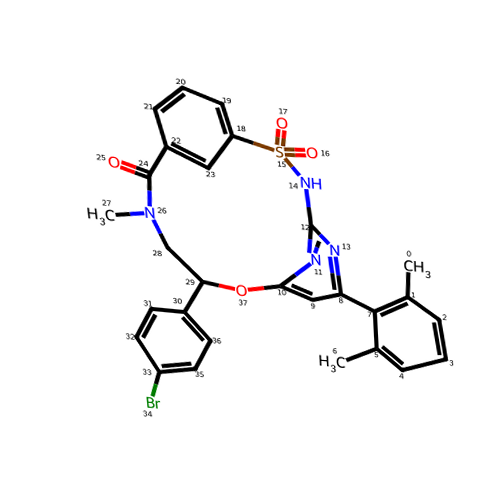 Cc1cccc(C)c1-c1cc2nc(n1)NS(=O)(=O)c1cccc(c1)C(=O)N(C)CC(c1ccc(Br)cc1)O2